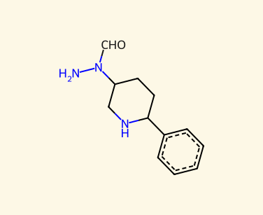 NN(C=O)C1CCC(c2ccccc2)NC1